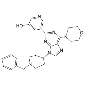 Oc1cncc(-c2nc(N3CCOCC3)c3ncn(C4CCN(Cc5ccccc5)CC4)c3n2)c1